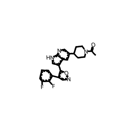 CC(=O)N1CCC(c2cnc3[nH]cc(-c4oncc4-c4cccc(F)c4F)c3c2)CC1